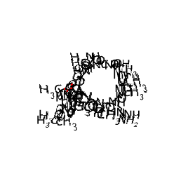 CC[C@H](C)[C@@H]1NC(=O)[C@@H](CCCNC(=N)N)NC(=O)[C@H](CC(C)C)NC(=O)[C@H]([C@H](O)C(C)C)NC(=O)[C@@H](NC(=O)[C@H](CC(C)C)NC(=O)[C@@H](CNC(=O)OC(C)(C)C)Cc2ccccc2)[C@@H](c2ccccc2)OC(=O)[C@H](CO)NC(=O)[C@H]([C@H](O)C(N)=O)NC(=O)CNC(=O)[C@H]([C@H](C)O)NC1=O